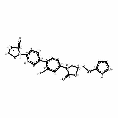 O=C1O[C@@H](COc2ccon2)CN1c1ccc(-c2ccc(N3CCNC3=O)nc2)c(F)c1